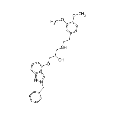 COc1ccc(CCNCC(O)COc2cccc3nn(Cc4ccccc4)cc23)cc1OC